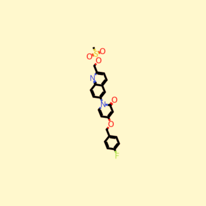 CS(=O)(=O)OCc1ccc2cc(-n3ccc(OCc4ccc(F)cc4)cc3=O)ccc2n1